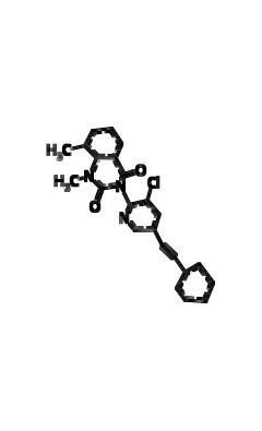 Cc1cccc2c(=O)n(-c3ncc(C#Cc4ccccc4)cc3Cl)c(=O)n(C)c12